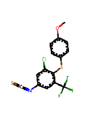 COc1ccc(Sc2c(Cl)cc(N=C=S)cc2C(F)(F)F)cc1